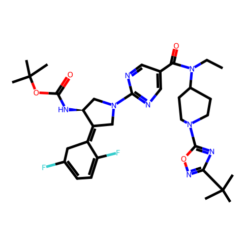 CCN(C(=O)c1cnc(N2C/C(=C3/CC(F)=CC=C3F)[C@@H](NC(=O)OC(C)(C)C)C2)nc1)C1CCN(c2nc(C(C)(C)C)no2)CC1